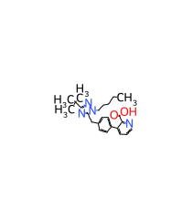 CCCCCn1nc(C(C)(C)C)nc1Cc1ccc(-c2cccnc2C(=O)O)cc1